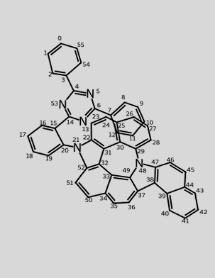 c1ccc(-c2nc(-c3ccccc3)nc(-c3ccccc3-n3c4ccc5cccc6c5c4c4c5c(ccc7c8c9ccccc9ccc8n6c75)ccc43)n2)cc1